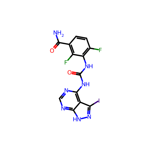 NC(=O)c1ccc(F)c(NC(=O)Nc2ncnc3[nH]nc(I)c23)c1F